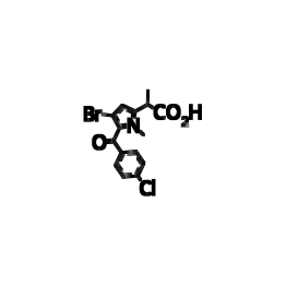 CC(C(=O)O)c1cc(Br)c(C(=O)c2ccc(Cl)cc2)n1C